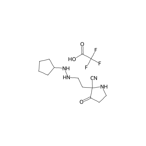 N#CC1(CCNNC2CCCC2)NCCC1=O.O=C(O)C(F)(F)F